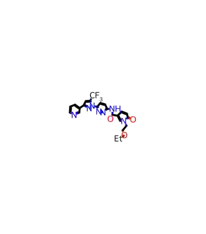 CCOCCn1cc(C(=O)Nc2ccc(-n3nc(-c4cccnc4)cc3C(F)(F)F)nn2)ccc1=O